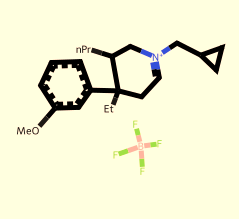 CCCC1C[N+](CC2CC2)=CCC1(CC)c1cccc(OC)c1.F[B-](F)(F)F